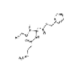 C=CCCC(=O)N[C@@H](CC(=O)SCc1ccccc1)C(=O)OCC#N